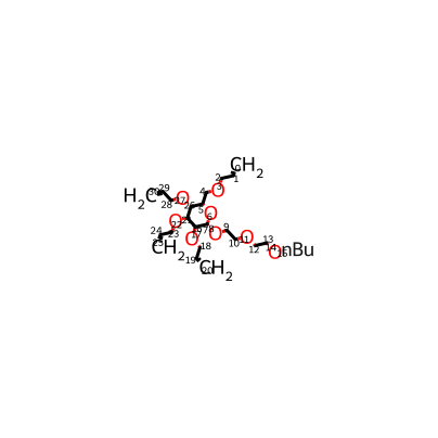 C=CCOCC1O[C@@H](OCCOCCOCCCC)C(OCC=C)[C@@H](OCC=C)[C@@H]1OCC=C